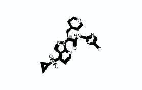 O=C(Nc1ncc(F)s1)[C@H](CC1CCOCC1)n1ncc2c(S(=O)(=O)C3CC3)ccnc21